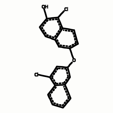 Oc1ccc2cc(Oc3cc(Cl)c4ccccc4c3)ccc2c1Cl